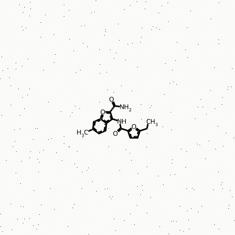 CCc1ccc(C(=O)Nc2c(C(N)=O)oc3cc(C)ccc23)o1